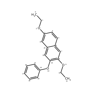 CCOc1ccc2cc(OCC)c(Oc3ccccc3)cc2c1